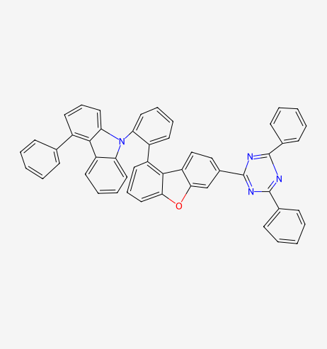 c1ccc(-c2nc(-c3ccccc3)nc(-c3ccc4c(c3)oc3cccc(-c5ccccc5-n5c6ccccc6c6c(-c7ccccc7)cccc65)c34)n2)cc1